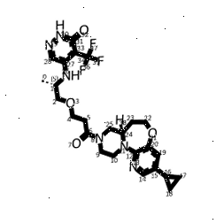 C[C@@H](COCCC(=O)N1CCN2c3ncc(C4CC4)cc3OCC[C@H]2C1)Nc1cn[nH]c(=O)c1C(F)(F)F